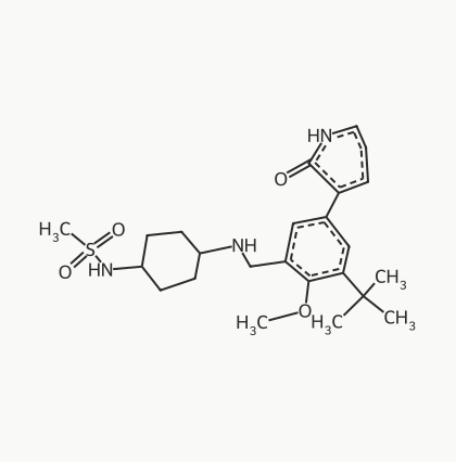 COc1c(CNC2CCC(NS(C)(=O)=O)CC2)cc(-c2ccc[nH]c2=O)cc1C(C)(C)C